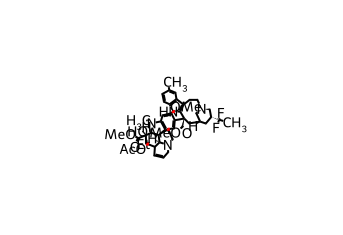 CC[C@]12C=CCN3CC[C@@]4(c5cc([C@@]6(C(=O)OC)C[C@@H]7C[C@@H](C(C)(F)F)C[N@](CCc8c6[nH]c6ccc(C)cc86)C7)c(OC)cc5N(C)[C@H]4[C@@](O)(C(=O)OC)[C@@H]1OC(C)=O)[C@@H]32